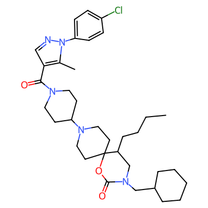 CCCCC1CN(CC2CCCCC2)C(=O)OC12CCN(C1CCN(C(=O)c3cnn(-c4ccc(Cl)cc4)c3C)CC1)CC2